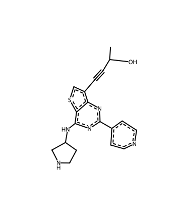 CC(O)C#Cc1csc2c(NC3CCNC3)nc(-c3ccncc3)nc12